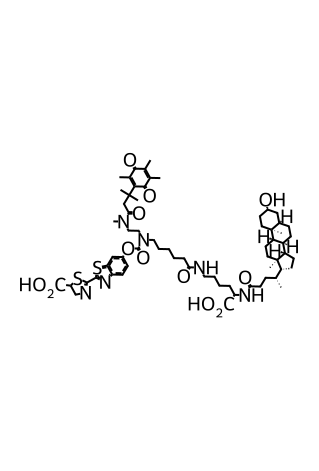 CC1=C(C)C(=O)C(C(C)(C)CC(=O)N(C)CCN(CCCCCC(=O)NCCCCC(NC(=O)CC[C@@H](C)[C@H]2CC[C@H]3[C@@H]4CC[C@@H]5C[C@H](O)CC[C@]5(C)[C@H]4CC[C@]23C)C(=O)O)C(=O)Oc2ccc3nc(C4=NCC(C(=O)O)S4)sc3c2)=C(C)C1=O